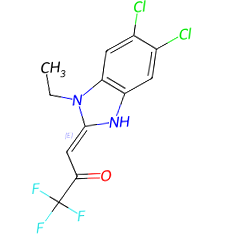 CCN1/C(=C/C(=O)C(F)(F)F)Nc2cc(Cl)c(Cl)cc21